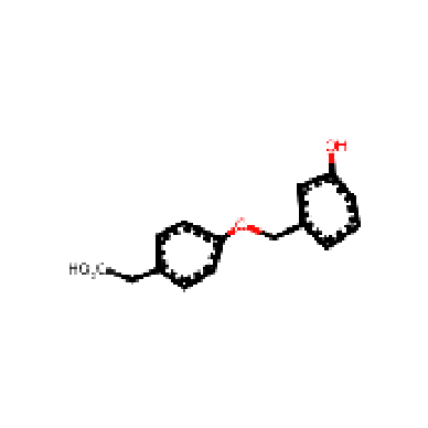 O=C(O)Cc1ccc(OCc2cccc(O)c2)cc1